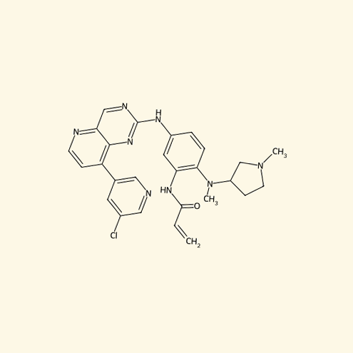 C=CC(=O)Nc1cc(Nc2ncc3nccc(-c4cncc(Cl)c4)c3n2)ccc1N(C)C1CCN(C)C1